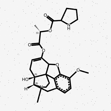 COc1ccc2c3c1OC1C(OC(=O)[C@H](C)OC(=O)C4CCCN4)=CC[C@@]4(O)[C@@H](C2)N(C)CCC314